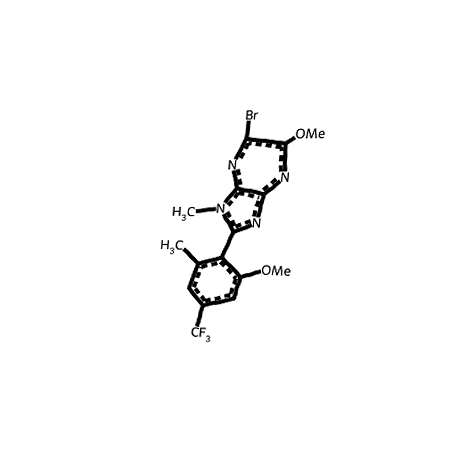 COc1cc(C(F)(F)F)cc(C)c1-c1nc2nc(OC)c(Br)nc2n1C